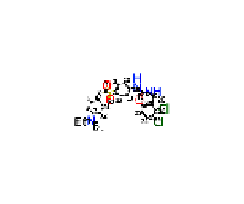 CCN(CC)C1CCC(CS(=O)(=O)c2ccc(NC(=O)NC(C)c3cccc(Cl)c3Cl)cc2)CC1